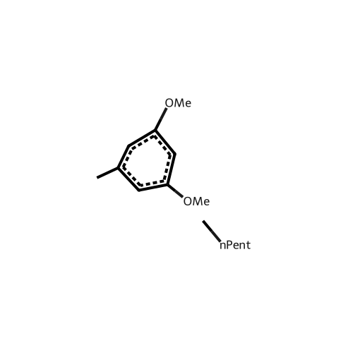 CCCCCC.COc1cc(C)cc(OC)c1